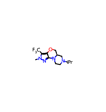 CC(C)N1CCN2c3nn(C)c(C(F)(F)F)c3OCC2C1